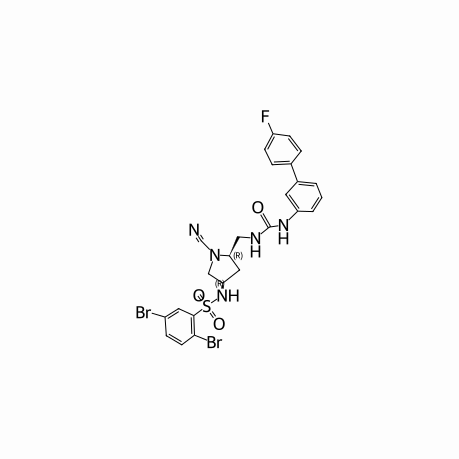 N#CN1C[C@H](NS(=O)(=O)c2cc(Br)ccc2Br)C[C@@H]1CNC(=O)Nc1cccc(-c2ccc(F)cc2)c1